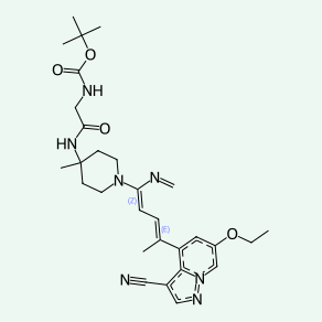 C=N/C(=C\C=C(/C)c1cc(OCC)cn2ncc(C#N)c12)N1CCC(C)(NC(=O)CNC(=O)OC(C)(C)C)CC1